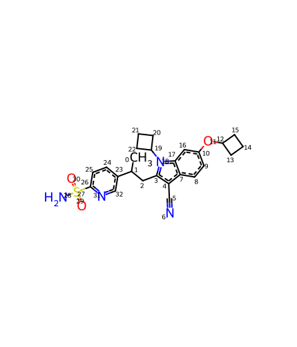 CC(Cc1c(C#N)c2ccc(OC3CCC3)cc2n1C1CCC1)c1ccc(S(N)(=O)=O)nc1